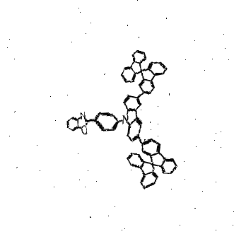 c1ccc2c(c1)-c1ccccc1C21c2ccccc2-c2ccc(-c3ccc4c(c3)c3cc(-c5ccc6c(c5)C5(c7ccccc7-c7ccccc75)c5ccccc5-6)ccc3n4-c3ccc(-c4nc5ccccc5o4)cc3)cc21